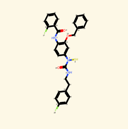 O=C(Nc1ccc(N(S)C(=O)NCCc2ccc(F)cc2)cc1OCc1ccccc1)c1ccccc1F